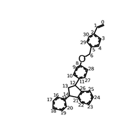 C=Cc1ccc(COc2ccc(C3CC(c4ccccc4)c4ccccc43)cc2)cc1